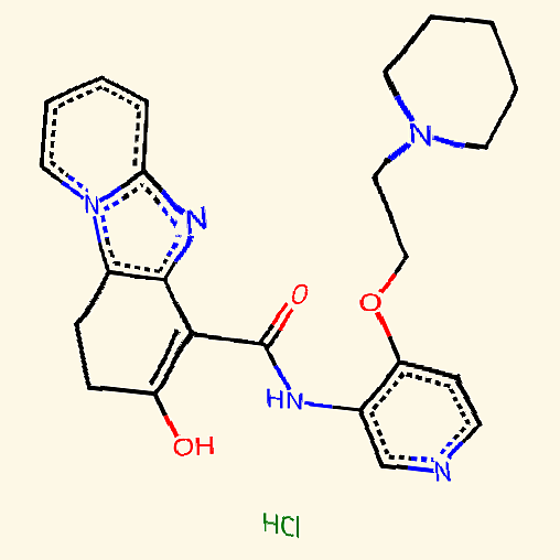 Cl.O=C(Nc1cnccc1OCCN1CCCCC1)C1=C(O)CCc2c1nc1ccccn21